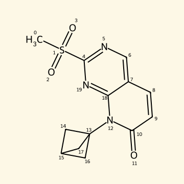 CS(=O)(=O)c1ncc2ccc(=O)n(C34CC(C3)C4)c2n1